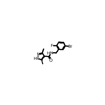 Cc1n[nH]c(C)c1C(=O)NCc1cc(Br)ccc1F